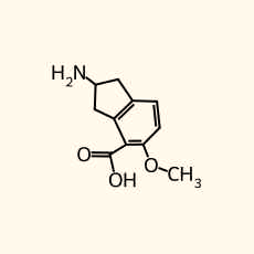 COc1ccc2c(c1C(=O)O)CC(N)C2